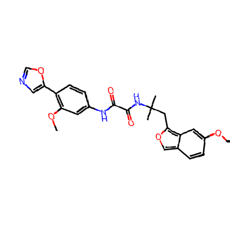 COc1ccc2coc(CC(C)(C)NC(=O)C(=O)Nc3ccc(-c4cnco4)c(OC)c3)c2c1